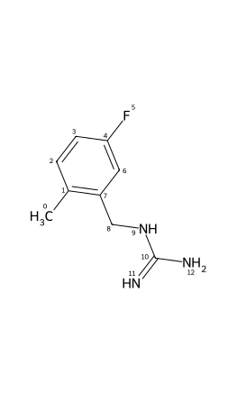 Cc1ccc(F)cc1CNC(=N)N